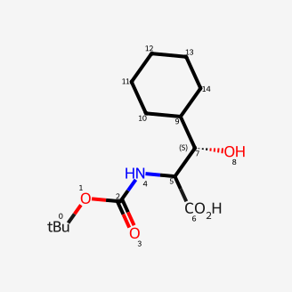 CC(C)(C)OC(=O)NC(C(=O)O)[C@@H](O)C1CCCCC1